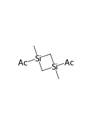 CC(=O)[Si]1(C)C[Si](C)(C(C)=O)C1